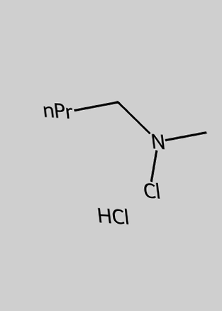 CCCCN(C)Cl.Cl